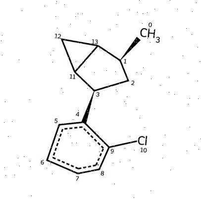 C[C@H]1C[C@@H](c2ccccc2Cl)C2CC21